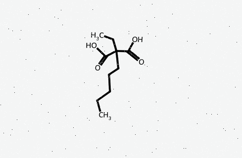 CCCCCC(CC)(C(=O)O)C(=O)O